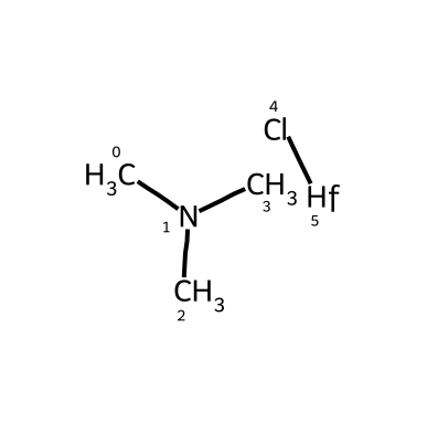 CN(C)C.[Cl][Hf]